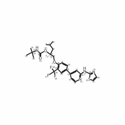 CC(C)C[C@@](C)(COc1ccc(-c2ccnc(Nc3nccs3)c2)cc1C(F)(F)F)OC(=O)NC(C)(C)C